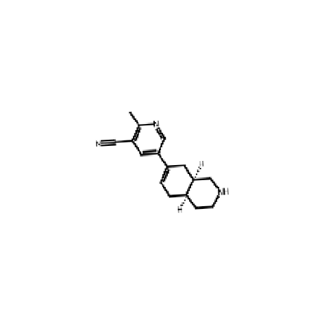 Cc1ncc(C2=CC[C@@H]3CCNC[C@@H]3C2)cc1C#N